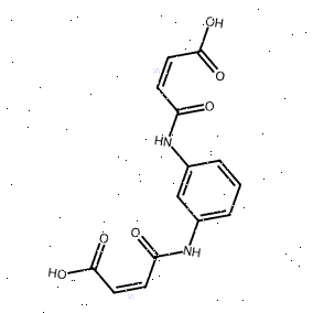 O=C(O)/C=C\C(=O)Nc1cccc(NC(=O)/C=C\C(=O)O)c1